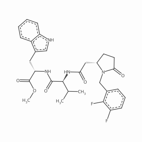 COC(=O)[C@H](Cc1c[nH]c2ccccc12)NC(=O)[C@@H](NC(=O)C[C@@H]1CCC(=O)N1Cc1cccc(F)c1F)C(C)C